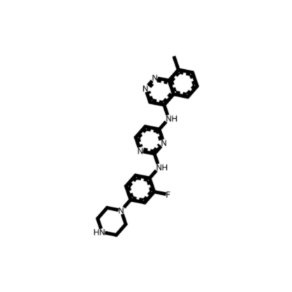 Cc1cccc2c(Nc3ccnc(Nc4ccc(N5CCNCC5)cc4F)n3)cnnc12